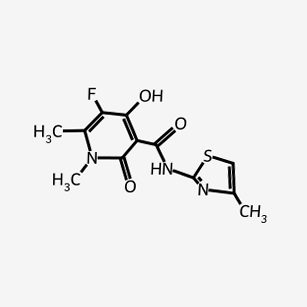 Cc1csc(NC(=O)c2c(O)c(F)c(C)n(C)c2=O)n1